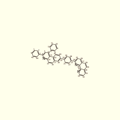 c1ccc(-c2cc(-c3ccccc3)c3c(ccc4cc(-c5ccc(-c6ccc7ccc8cccnc8c7n6)cc5)ccc43)n2)cc1